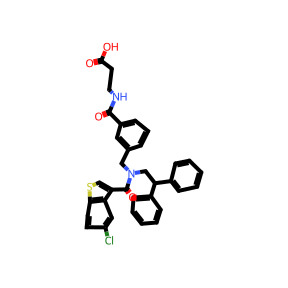 O=C(O)CCNC(=O)c1cccc(CN(CC(c2ccccc2)c2ccccc2)C(=O)c2csc3ccc(Cl)cc23)c1